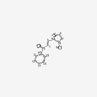 O=C(C=Cc1sccc1Cl)c1ccccc1